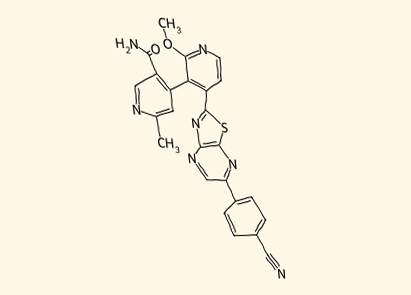 COc1nccc(-c2nc3ncc(-c4ccc(C#N)cc4)nc3s2)c1-c1cc(C)ncc1C(N)=O